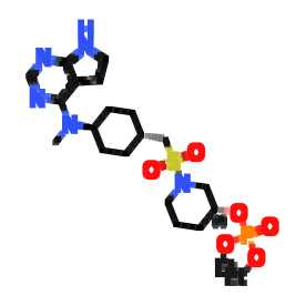 CCOP(=O)(OCC)O[C@@H]1CCCN(S(=O)(=O)C[C@H]2CC[C@H](N(C)c3ncnc4[nH]ccc34)CC2)C1